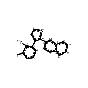 Cc1cccc(-c2ccsc2-c2ccc3ccccc3c2)c1F